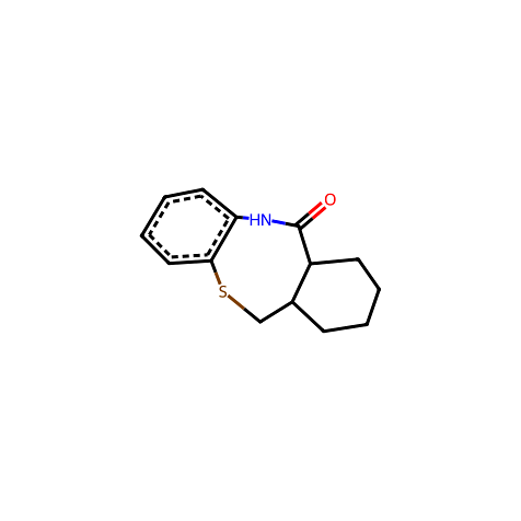 O=C1Nc2ccccc2SCC2CCCCC12